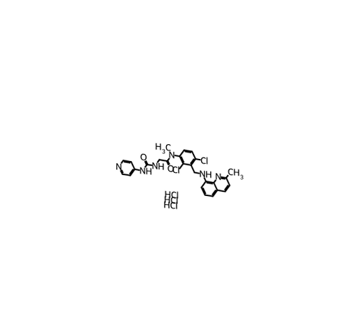 Cc1ccc2cccc(NCc3c(Cl)ccc(N(C)C(=O)CNC(=O)Nc4ccncc4)c3Cl)c2n1.Cl.Cl.Cl